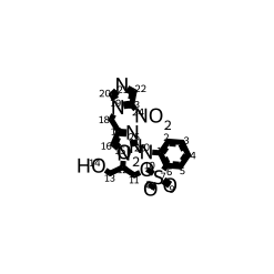 O=[N+]([O-])c1ccccc1S(=O)(=O)OCC(CO)n1cc(Cn2cncc2[N+](=O)[O-])nn1